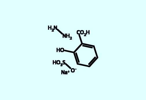 NN.O=C(O)c1ccccc1O.O=S(=O)([O-])O.[Na+]